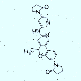 CC1Oc2cc(N3CCCC3=O)ccc2-c2cnc(Nc3cncc(N4CCCC4=O)c3)cc21